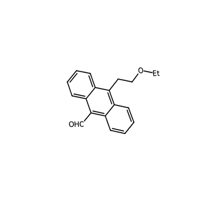 CCOCCc1c2ccccc2c(C=O)c2ccccc12